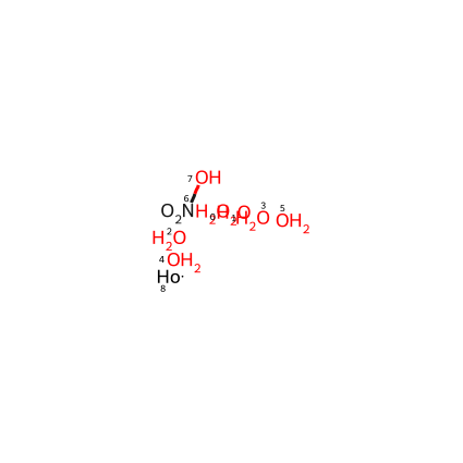 O.O.O.O.O.O.O=[N+]([O-])O.[Ho]